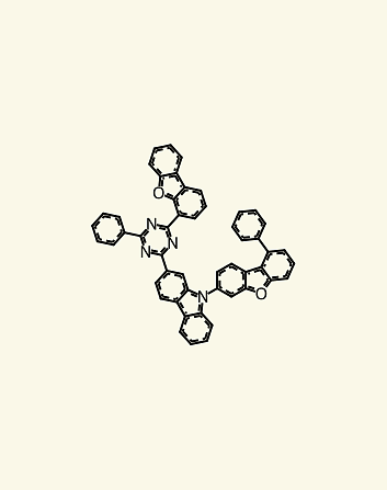 c1ccc(-c2nc(-c3ccc4c5ccccc5n(-c5ccc6c(c5)oc5cccc(-c7ccccc7)c56)c4c3)nc(-c3cccc4c3oc3ccccc34)n2)cc1